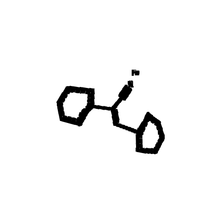 N#CC(=Cc1ccccc1)c1ccccc1.[Fe]